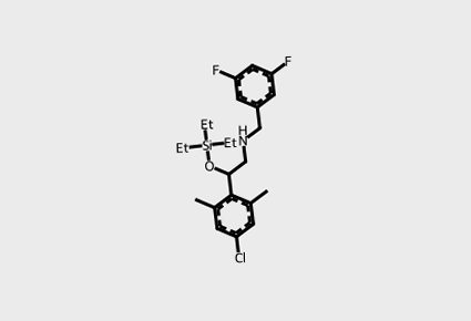 CC[Si](CC)(CC)OC(CNCc1cc(F)cc(F)c1)c1c(C)cc(Cl)cc1C